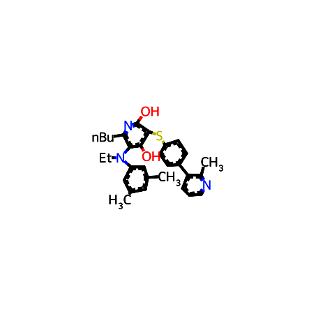 CCCCc1nc(O)c(Sc2ccc(-c3cccnc3C)cc2)c(O)c1N(CC)c1cc(C)cc(C)c1